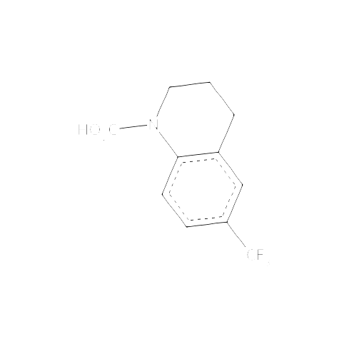 O=C(O)N1CCCc2cc(C(F)(F)F)ccc21